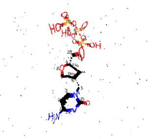 Nc1ccn(C[C@@H]2CO[C@H](COP(=O)(O)OP(=O)(O)OP(=O)(O)O)C2)c(=O)n1